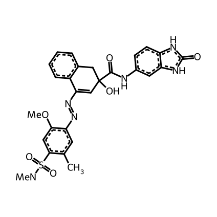 CNS(=O)(=O)c1cc(OC)c(N=NC2=CC(O)(C(=O)Nc3ccc4[nH]c(=O)[nH]c4c3)Cc3ccccc32)cc1C